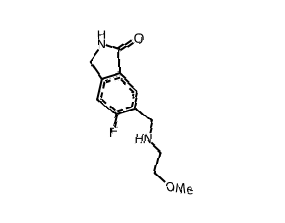 COCCNCc1cc2c(cc1F)CNC2=O